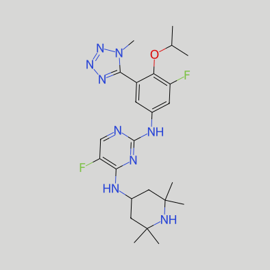 CC(C)Oc1c(F)cc(Nc2ncc(F)c(NC3CC(C)(C)NC(C)(C)C3)n2)cc1-c1nnnn1C